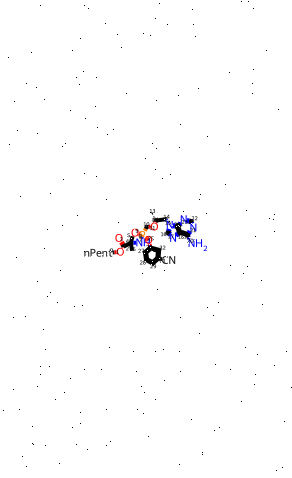 CCCCCOC(=O)C(C)(C)NP(=O)(CO[C@H](C)Cn1cnc2c(N)ncnc21)Oc1cccc(C#N)c1